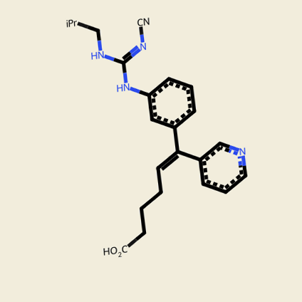 CC(C)CNC(=NC#N)Nc1cccc(C(=CCCCC(=O)O)c2cccnc2)c1